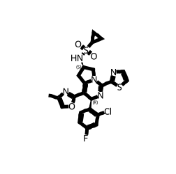 Cc1coc(C2=C3C[C@H](NS(=O)(=O)C4CC4)CN3C(c3nccs3)=N[C@H]2c2ccc(F)cc2Cl)n1